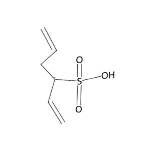 C=CC[C](C=C)S(=O)(=O)O